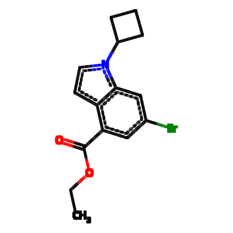 CCOC(=O)c1cc(Br)cc2c1ccn2C1CCC1